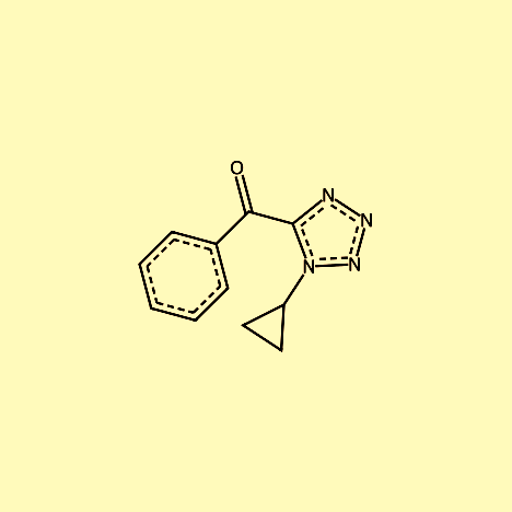 O=C(c1ccccc1)c1nnnn1C1CC1